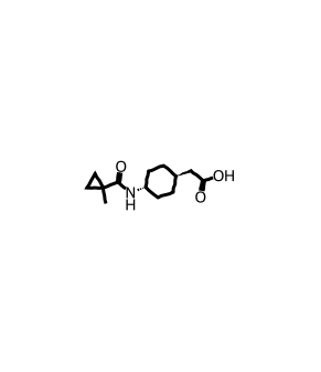 CC1(C(=O)N[C@H]2CC[C@H](CC(=O)O)CC2)CC1